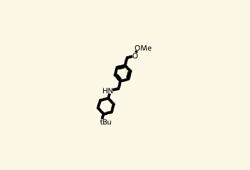 COOCc1ccc(CNC2CCC(C(C)(C)C)CC2)cc1